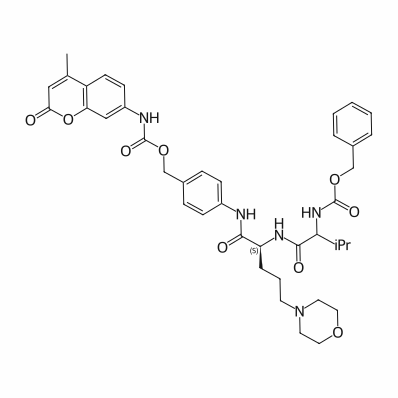 Cc1cc(=O)oc2cc(NC(=O)OCc3ccc(NC(=O)[C@H](CCCN4CCOCC4)NC(=O)C(NC(=O)OCc4ccccc4)C(C)C)cc3)ccc12